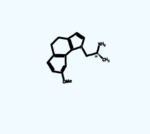 COc1ccc2c(c1)-c1c(ccn1C[C@@H](C)N)CC2